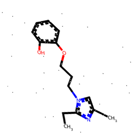 CCc1nc(C)cn1CCCOc1ccccc1O